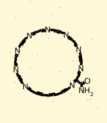 NC(=O)C1=NC=CC=CC=CC=NC=CN=CC=NC=CN=CC=NC=CN=CC=NC=CN=C1